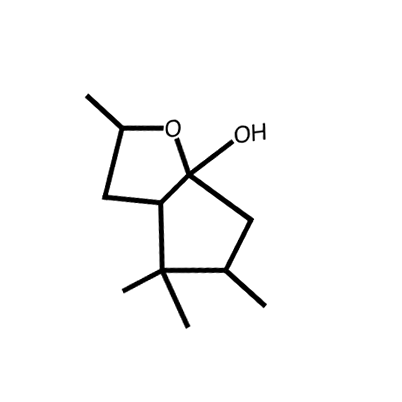 CC1CC2C(O)(CC(C)C2(C)C)O1